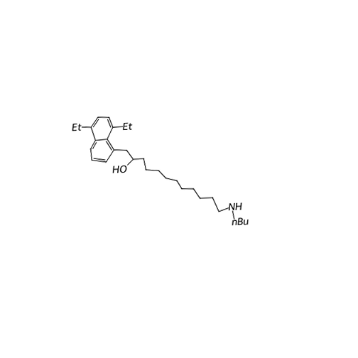 CCCCNCCCCCCCCCCC(O)Cc1cccc2c(CC)ccc(CC)c12